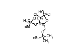 CCCC[Si](C)(C)OC[C@H]1O[C@@](O)(Cl)[C@H](Cl)[C@@H]1O[Si](C)(C)CCCC